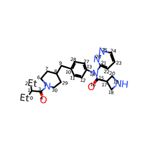 CCC(CC)C(=O)N1CCC(Cc2ccc(N(C(=O)C3CNC3)c3cccnn3)cc2)CC1